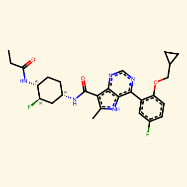 CCC(=O)N[C@@H]1CC[C@H](NC(=O)c2c(C)[nH]c3c(-c4cc(F)ccc4OCC4CC4)ncnc23)C[C@H]1F